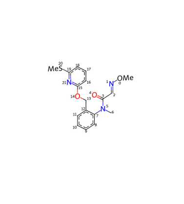 CON=CC(=O)N(C)c1ccccc1COc1cccc(SC)n1